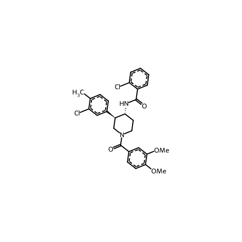 COc1ccc(C(=O)N2CC[C@@H](NC(=O)c3ccccc3Cl)[C@H](c3ccc(C)c(Cl)c3)C2)cc1OC